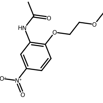 COCCOc1ccc([N+](=O)[O-])cc1NC(C)=O